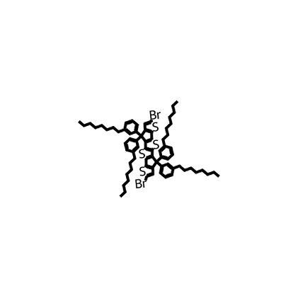 CCCCCCCCc1cccc(C2(c3cccc(CCCCCCCC)c3)c3cc(Br)sc3-c3sc4c5c(sc4c32)-c2sc(Br)cc2C5(c2cccc(CCCCCCCC)c2)c2cccc(CCCCCCCC)c2)c1